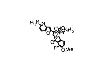 COc1ccc2c(c1F)C(=O)N(C[C@](C=O)(NOCN)c1cc3nc(N)ccc3o1)C2